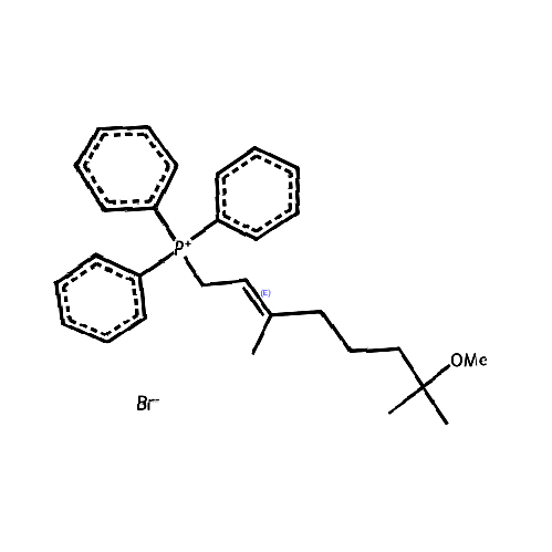 COC(C)(C)CCC/C(C)=C/C[P+](c1ccccc1)(c1ccccc1)c1ccccc1.[Br-]